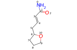 NC(=O)C=CCC1CCCO1